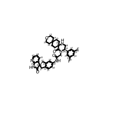 O=C(CN1C(=O)C2(CCC3(CCOCC3)CC2)NC[C@H]1c1cc(F)cc(F)c1)Nc1ccc2c(c1)C[C@@]1(C2)C(=O)Nc2ncccc21